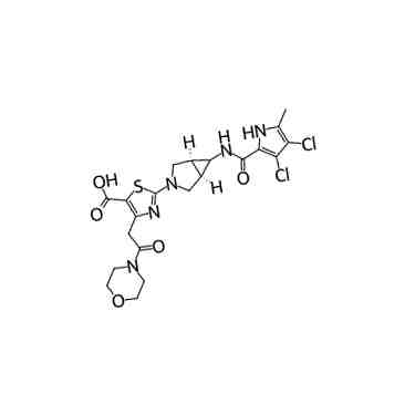 Cc1[nH]c(C(=O)NC2[C@H]3CN(c4nc(CC(=O)N5CCOCC5)c(C(=O)O)s4)C[C@@H]23)c(Cl)c1Cl